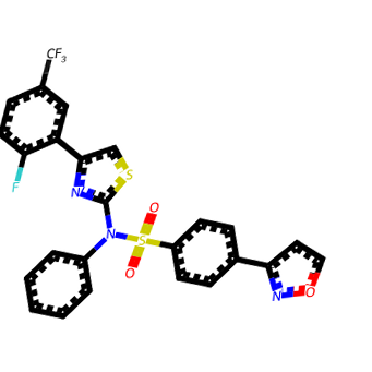 O=S(=O)(c1ccc(-c2ccon2)cc1)N(c1ccccc1)c1nc(-c2cc(C(F)(F)F)ccc2F)cs1